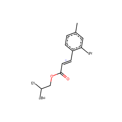 CCCCC(CC)COC(=O)/C=C/c1ccc(C)cc1C(C)C